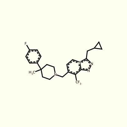 CC1(c2ccc(F)cc2)CCN(Cc2ccn3c(CC4CC4)nnc3c2C(F)(F)F)CC1